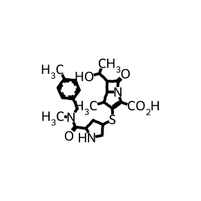 Cc1ccc(CN(C)C(=O)C2CC(SC3=C(C(=O)O)N4C(=O)C(C(C)O)C4C3C)CN2)cc1